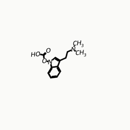 CN(C)CCc1cn(OC(=O)O)c2ccccc12